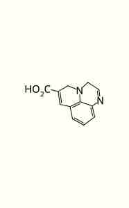 O=C(O)C1=Cc2cccc3c2N(CC=N3)C1